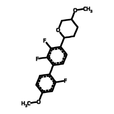 COc1ccc(-c2ccc(C3CCC(OC)CO3)c(F)c2F)c(F)c1